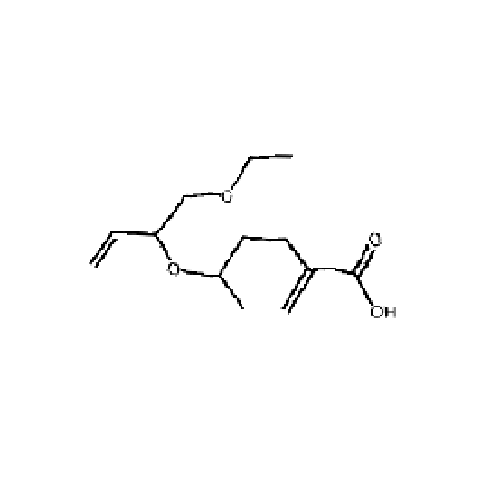 C=CC(COCC)OC(C)CCC(=C)C(=O)O